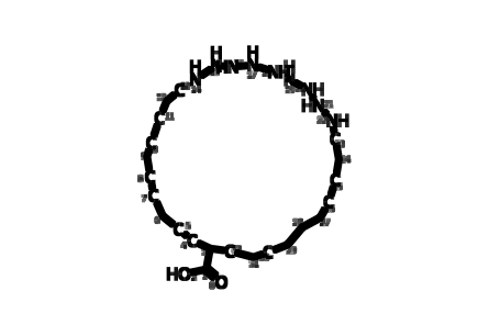 O=C(O)C1CCCCCCCCCCNNNNNNNNNCCCCCCCCCC1